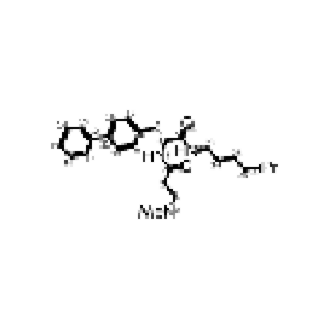 CNCCC(=O)N[C@H](Cc1ccc(-c2ccccc2)cc1)C(=O)NCCCCC(C)C